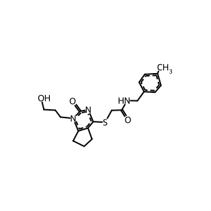 Cc1ccc(CNC(=O)CSc2nc(=O)n(CCCO)c3c2CCC3)cc1